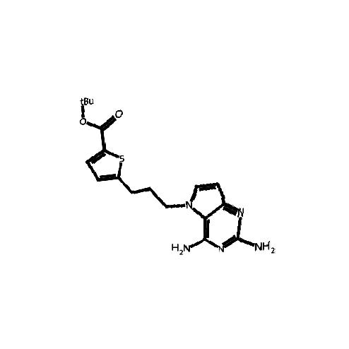 CC(C)(C)OC(=O)c1ccc(CCCn2ccc3nc(N)nc(N)c32)s1